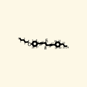 CCCCCOc1ccc(C#C/C(F)=C(\F)C#Cc2ccc(CCC)cc2)cc1